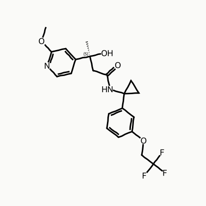 COc1cc([C@@](C)(O)CC(=O)NC2(c3cccc(OCC(F)(F)F)c3)CC2)ccn1